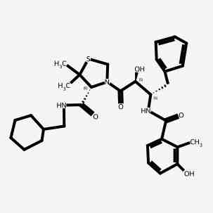 Cc1c(O)cccc1C(=O)N[C@@H](Cc1ccccc1)[C@H](O)C(=O)N1CSC(C)(C)[C@H]1C(=O)NCC1CCCCC1